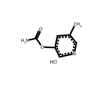 Cc1cncc(OC(N)=O)c1.Cl